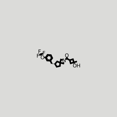 CC1(O)CC(C(=O)N2CC3(CC[C@H](Cc4cccc(OC(F)(F)F)c4)C3)C2)C1